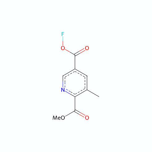 COC(=O)c1ncc(C(=O)OF)cc1C